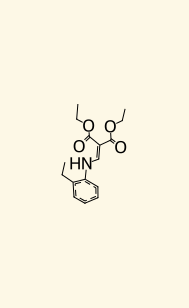 CCOC(=O)C(=CNc1ccccc1CC)C(=O)OCC